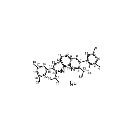 Cc1cc(C)cc(-c2cc3ccc4cc(-c5cc(C)cc(C)c5)c(C(C)C)nc4c3nc2C(C)C)c1.[Cu+]